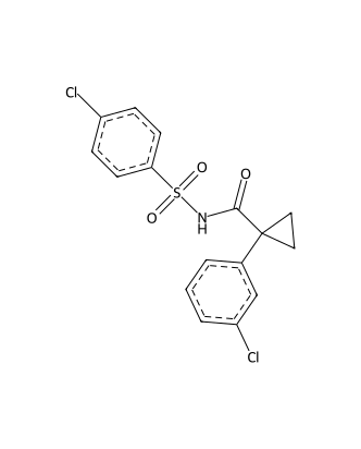 O=C(NS(=O)(=O)c1ccc(Cl)cc1)C1(c2cccc(Cl)c2)CC1